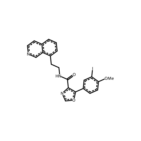 COc1ccc(-c2ocnc2C(=O)NCCc2cccc3ccncc23)cc1I